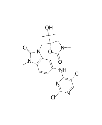 CN1CC(Cn2c(=O)n(C)c3ccc(Nc4nc(Cl)ncc4Cl)cc32)(C(C)(C)O)OC1=O